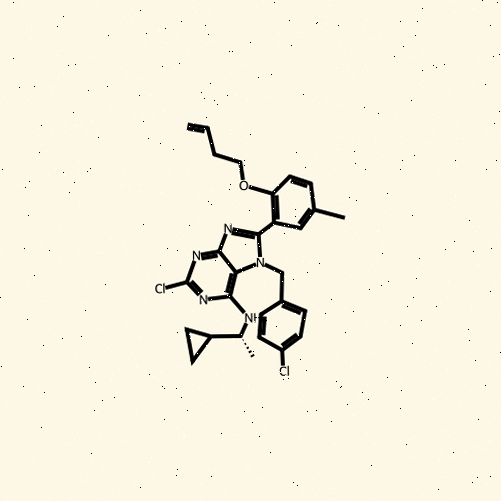 C=CCCOc1ccc(C)cc1-c1nc2nc(Cl)nc(N[C@H](C)C3CC3)c2n1Cc1ccc(Cl)cc1